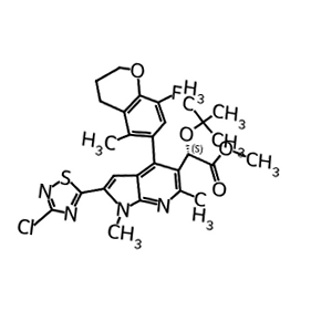 COC(=O)[C@@H](OC(C)(C)C)c1c(C)nc2c(cc(-c3nc(Cl)ns3)n2C)c1-c1cc(F)c2c(c1C)CCCO2